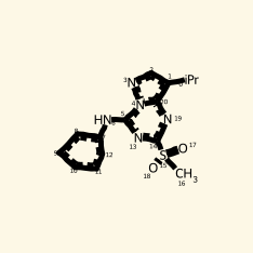 CC(C)c1cnn2c(Nc3ccccc3)nc(S(C)(=O)=O)nc12